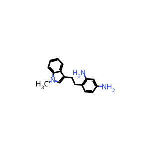 Cn1cc(CCc2ccc(N)cc2N)c2ccccc21